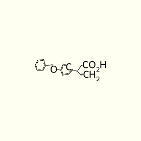 C=CC(CC(=O)O)c1ccc(OCc2ccccc2)cc1